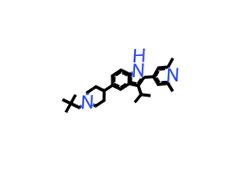 Cc1cc(-c2[nH]c3ccc(C4CCN(CC(C)(C)C)CC4)cc3c2C(C)C)cc(C)n1